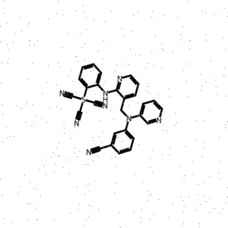 N#Cc1cccc(N(Cc2cccnc2Nc2ccccc2S(C#N)(C#N)C#N)c2cccnc2)c1